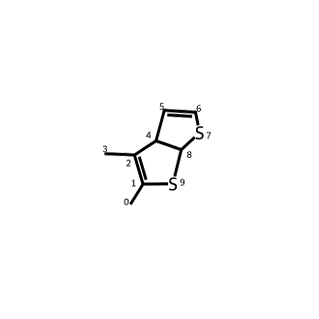 CC1=C(C)C2C=CSC2S1